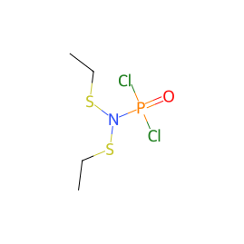 CCSN(SCC)P(=O)(Cl)Cl